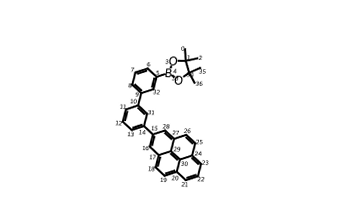 CC1(C)OB(c2cccc(-c3cccc(-c4cc5ccc6cccc7ccc(c4)c5c67)c3)c2)OC1(C)C